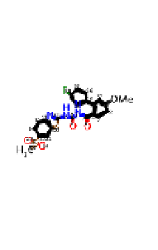 COc1ccc(C(=O)NC(=O)Nc2nc3ccc(S(C)(=O)=O)cc3s2)c(-c2ccc(F)cc2)c1